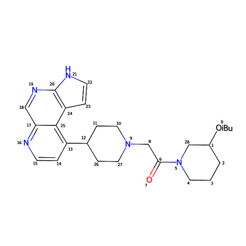 CC(C)COC1CCCN(C(=O)CN2CCC(c3ccnc4cnc5[nH]ccc5c34)CC2)C1